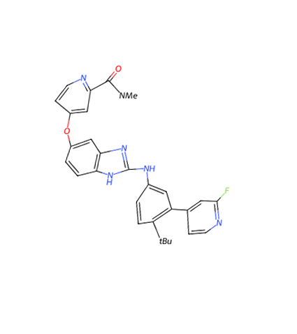 CNC(=O)c1cc(Oc2ccc3[nH]c(Nc4ccc(C(C)(C)C)c(-c5ccnc(F)c5)c4)nc3c2)ccn1